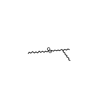 CCCCCCCCCCCCCC(=O)OCCCCCCCC(CCCC)CCCCCCCC